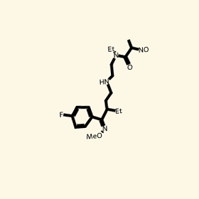 CCC(CCNCCN(CC)C(=O)C(C)N=O)/C(=N/OC)c1ccc(F)cc1